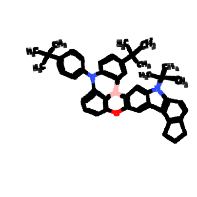 CC(C)(C)c1ccc(N2c3ccc(C(C)(C)C)cc3B3c4cc5c(cc4Oc4cccc2c43)c2c3c(ccc2n5C(C)(C)C)CCC3)cc1